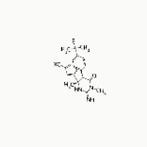 CN1C(=N)N[C@](C)(c2cc(C#N)cs2)[C@@H](c2ccc(C(C)(C)F)cc2)C1=O